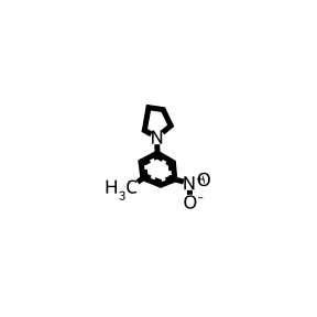 Cc1cc(N2CCCC2)cc([N+](=O)[O-])c1